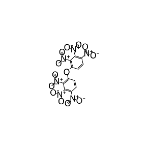 O=[N+]([O-])c1ccc(Oc2ccc([N+](=O)[O-])c([N+](=O)[O-])c2[N+](=O)[O-])c([N+](=O)[O-])c1[N+](=O)[O-]